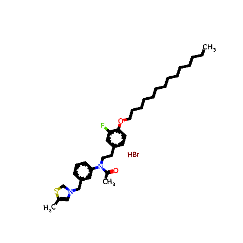 Br.CCCCCCCCCCCCCCOc1ccc(CCN(C(C)=O)c2cccc(CN3C=C(C)SC3)c2)cc1F